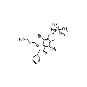 CCCCOc1c(Br)c(CCNC(C)(C)C)c(F)c(C)c1C(=O)Oc1ccccc1